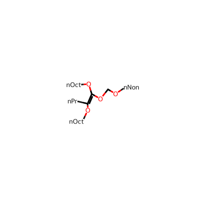 CCCCCCCCCOCOC(OCCCCCCCC)=C(CCC)OCCCCCCCC